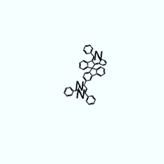 c1ccc(-c2cc(-c3ccc4c(c3)-c3ccccc3C43c4ccccc4-c4c(-c5ccccc5)nc5ccccc5c43)nc(-c3ccccc3)n2)cc1